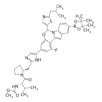 COC(=O)N[C@H](C(=O)N1CCC[C@H]1Cc1ncc(-c2cc(F)c3c(c2)OC(c2cnc(CC(C)C)s2)n2c-3cc3cc(B4OC(C)(C)C(C)(C)O4)ccc32)[nH]1)C(C)C